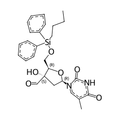 CCCC[Si](OC[C@H]1O[C@@H](n2cc(C)c(=O)[nH]c2=O)C[C@@]1(O)C=O)(c1ccccc1)c1ccccc1